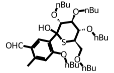 CCCCOC[C@H]1SC(O)(c2cc(C=O)c(C)cc2OCCCC)[C@H](OCCCC)[C@@H](OCCCC)[C@@H]1OCCCC